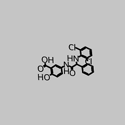 O=C(O)c1cc(NC(=O)C(Nc2c(Cl)cccc2Cl)c2ccccc2)ccc1O